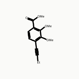 CCC#Cc1ccc(C(=O)OC)c(OC)c1OC